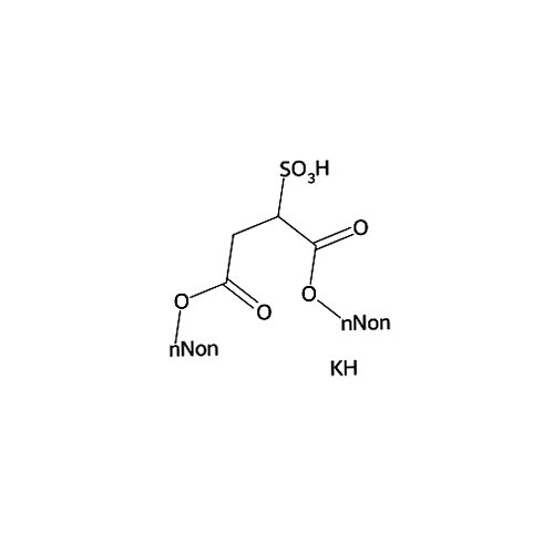 CCCCCCCCCOC(=O)CC(C(=O)OCCCCCCCCC)S(=O)(=O)O.[KH]